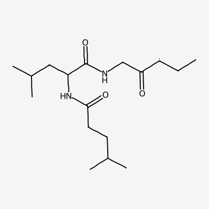 CC[CH]C(=O)CNC(=O)C(CC(C)C)NC(=O)CCC(C)C